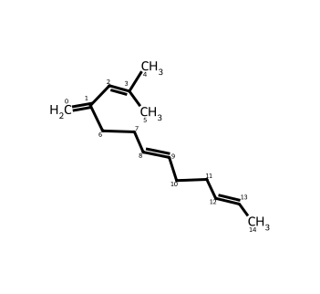 C=C(C=C(C)C)CCC=CCCC=CC